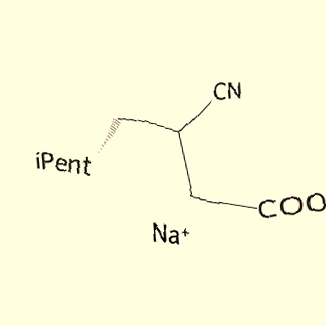 CCC[C@@H](C)CC(C#N)CC(=O)[O-].[Na+]